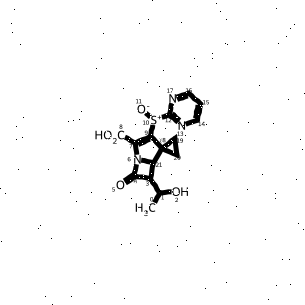 CC(O)C1C(=O)N2C(C(=O)O)=C([S+]([O-])c3ncccn3)C3(CC3)C12